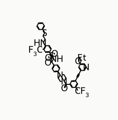 CCOc1cncc(C#Cc2cc(C(=O)N3CCN(c4ccc(C(=O)NS(=O)(=O)c5ccc(NCCSc6ccccc6)c(C(F)(F)F)c5)cc4)CC3)cc(C(F)(F)F)c2)c1